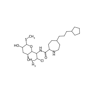 CSC1OC(C(NC(=O)C2CCC(CCCC3CCCC3)CCN2)C(C)Cl)[C@@H](O)CC1O